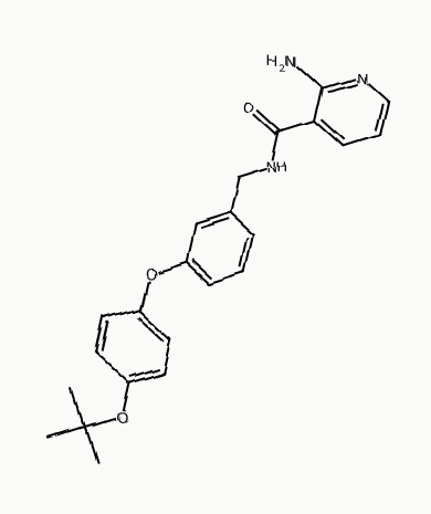 CC(C)(C)Oc1ccc(Oc2cccc(CNC(=O)c3cccnc3N)c2)cc1